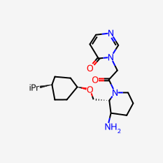 CC(C)[C@H]1CC[C@@H](OC[C@H]2C(N)CCCN2C(=O)Cn2cnccc2=O)CC1